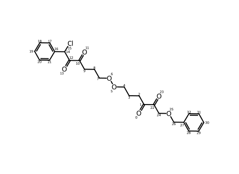 O=C(CCCOOCCCC(=O)C(=O)C(Cl)c1ccccc1)C(=O)COCc1ccccc1